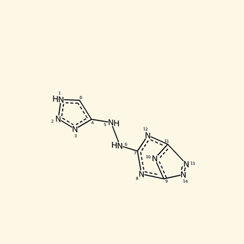 c1[nH]nnc1NNc1nc2nc(n1)N=N2